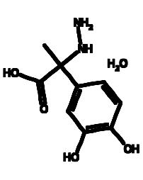 CC(NN)(C(=O)O)c1ccc(O)c(O)c1.O